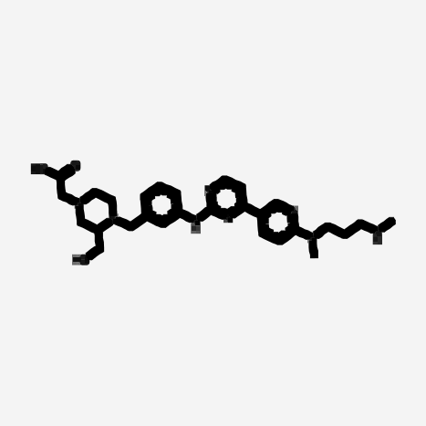 CNCCCN(C)c1ccc(-c2ccnc(Nc3cccc(CN4CCN(CC(=O)O)CC4CO)c3)n2)cn1